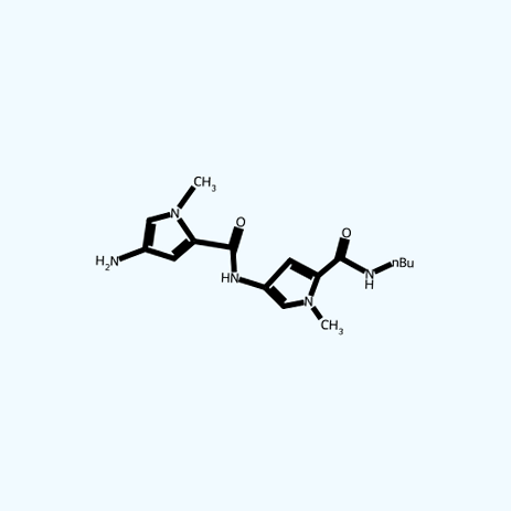 CCCCNC(=O)c1cc(NC(=O)c2cc(N)cn2C)cn1C